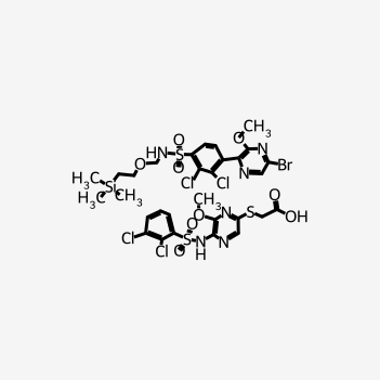 COc1nc(Br)cnc1-c1ccc(S(=O)(=O)NCOCC[Si](C)(C)C)c(Cl)c1Cl.COc1nc(SCC(=O)O)cnc1NS(=O)(=O)c1cccc(Cl)c1Cl